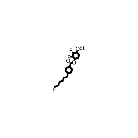 CCOc1ccc(OC(=O)c2ccc(CCC=CCCF)cc2)c(F)c1F